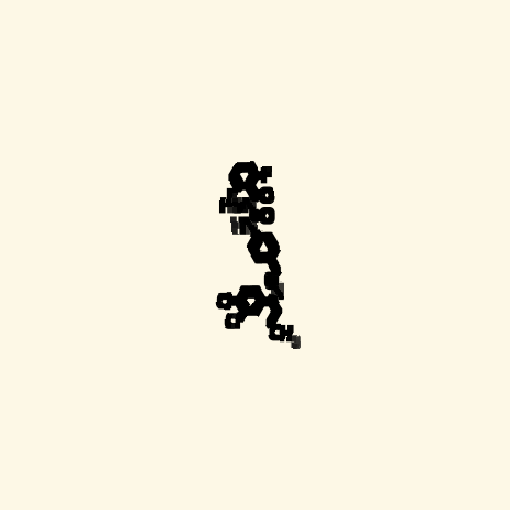 CCCC(=NOCc1ccc(NC(=O)N(S)C(=O)c2c(F)cccc2F)cc1)c1ccc(Cl)c(Cl)c1